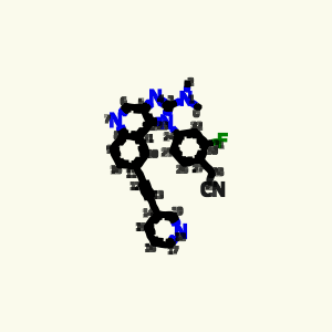 CN(C)c1nc2cnc3ccc(C#Cc4cccnc4)cc3c2n1-c1ccc(CC#N)c(F)c1